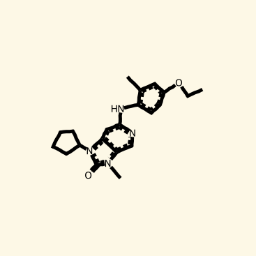 CCOc1ccc(Nc2cc3c(cn2)n(C)c(=O)n3C2CCCC2)c(C)c1